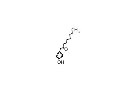 CCCCCCCC(=O)Cc1ccc(O)cc1